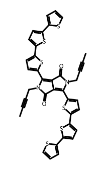 CC#CCN1C(=O)C2=C(c3ccc(-c4ccc(-c5cccs5)s4)s3)N(CC#CC)C(=O)C2=C1c1ccc(-c2ccc(-c3cccs3)s2)s1